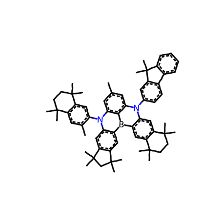 Cc1cc2c3c(c1)N(c1cc4c(cc1C)C(C)(C)CCC4(C)C)c1cc4c(cc1B3c1cc3c(cc1N2c1ccc2c(c1)C(C)(C)c1ccccc1-2)C(C)(C)CCC3(C)C)C(C)(C)CC4(C)C